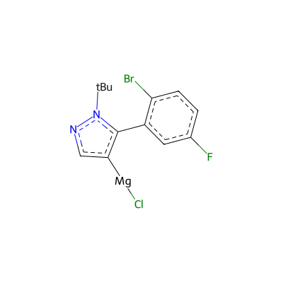 CC(C)(C)n1nc[c]([Mg][Cl])c1-c1cc(F)ccc1Br